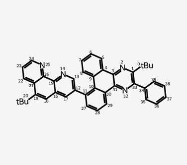 CC(C)(C)c1nc2c3ccccc3c3c(-c4cnc5c(c4)cc(C(C)(C)C)c4cccnc45)cccc3c2nc1-c1ccccc1